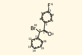 O=C(c1ccc(F)cc1)C(Br)c1ccccc1